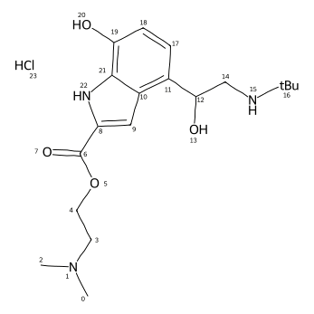 CN(C)CCOC(=O)c1cc2c(C(O)CNC(C)(C)C)ccc(O)c2[nH]1.Cl